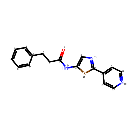 O=C(CCc1ccccc1)Nc1cnc(-c2ccncc2)s1